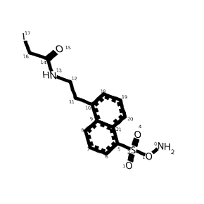 NOS(=O)(=O)c1cccc2c(CCNC(=O)CI)cccc12